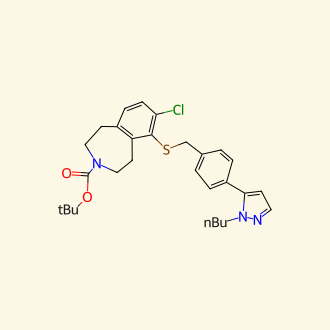 CCCCn1nccc1-c1ccc(CSc2c(Cl)ccc3c2CCN(C(=O)OC(C)(C)C)CC3)cc1